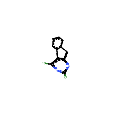 Clc1nc(Cl)c2c(n1)Cc1ccccc1-2